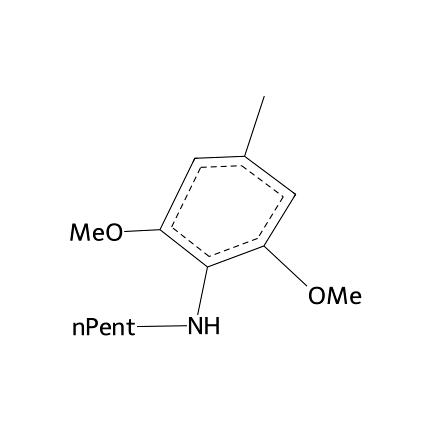 CCCCCNc1c(OC)cc(C)cc1OC